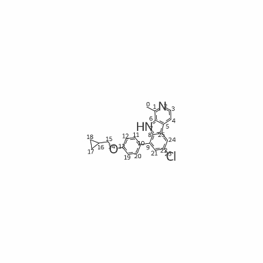 Cc1nccc2c1[nH]c1c(-c3ccc(OCC4CC4)cc3)cc(Cl)cc12